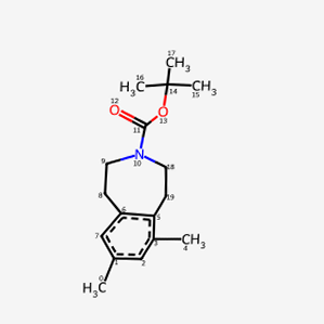 Cc1cc(C)c2c(c1)CCN(C(=O)OC(C)(C)C)CC2